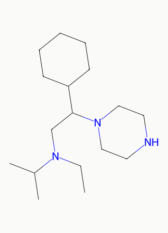 CCN(CC(C1CCCCC1)N1CCNCC1)C(C)C